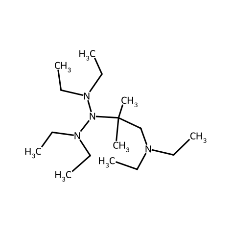 CCN(CC)CC(C)(C)N(N(CC)CC)N(CC)CC